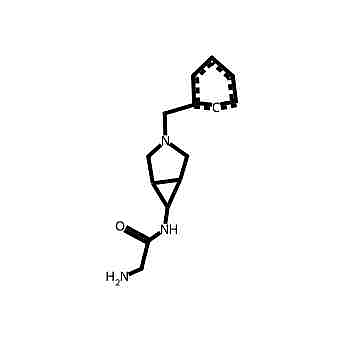 NCC(=O)NC1C2CN(Cc3ccccc3)CC21